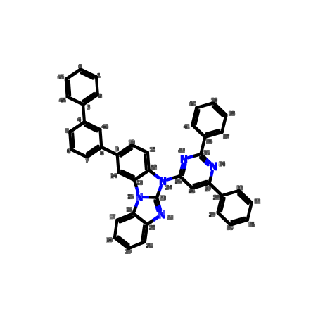 c1ccc(-c2cccc(-c3ccc4c(c3)n3c5ccccc5nc3n4-c3cc(-c4ccccc4)nc(-c4ccccc4)n3)c2)cc1